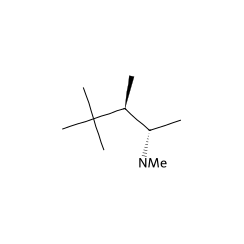 CN[C@@H](C)[C@H](C)C(C)(C)C